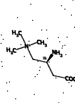 C[N+](C)(C)C[C@@H](N)CC(=O)[O-]